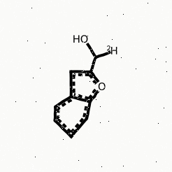 [2H]C(O)c1cc2ccccc2o1